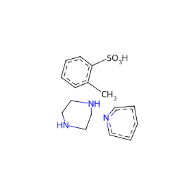 C1CNCCN1.Cc1ccccc1S(=O)(=O)O.c1ccncc1